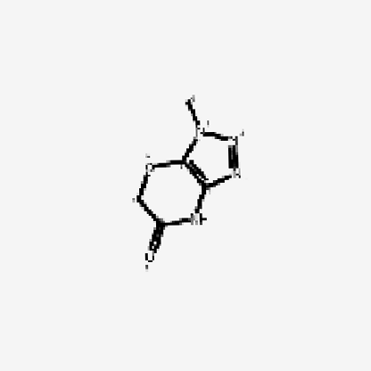 Cn1nnc2c1OCC(=O)N2